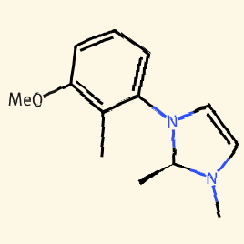 COc1cccc(N2C=CN(C)[C@H]2C)c1C